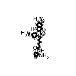 COc1ccc(N(CCCCCC(=O)Nc2ccccc2N)C(=O)c2c[nH]c3ccc(OC)cc3c2=O)cc1